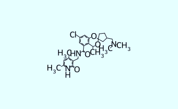 Cc1cc(C)c(CNC(=O)c2cc(Cl)cc3c2C(C)OC2(CCC(CN(C)C)C2)O3)c(=O)[nH]1